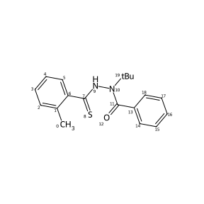 Cc1ccccc1C(=S)NN(C(=O)c1ccccc1)C(C)(C)C